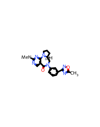 CNc1ncc2c(n1)N1CCC[C@H]1CN(c1cccc(-c3noc(C)n3)c1)C2=O